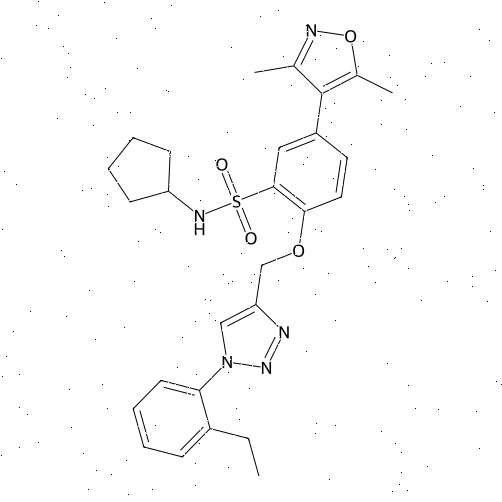 CCc1ccccc1-n1cc(COc2ccc(-c3c(C)noc3C)cc2S(=O)(=O)NC2CCCC2)nn1